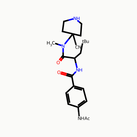 CC(=O)Nc1ccc(C(=O)NC(CC(C)(C)C)C(=O)N(C)C2(C#N)CCNCC2)cc1